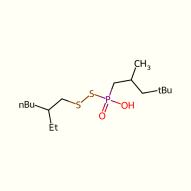 CCCCC(CC)CSSP(=O)(O)CC(C)CC(C)(C)C